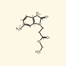 CCOC(=O)CCn1c(=O)[nH]c2ccc(N)cc21